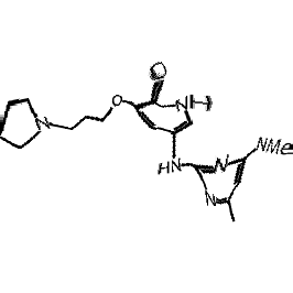 CNc1cc(C)nc(Nc2c[nH]c(=O)c(OCCCN3CCCC3)c2)n1